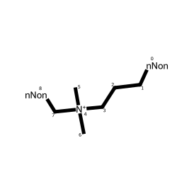 [CH2]CCCCCCCCCCC[N+](C)(C)CCCCCCCCCC